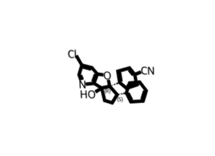 N#Cc1ccc([C@@]23Oc4cc(Cl)cnc4C2(O)CC[C@H]3c2ccccc2)cc1